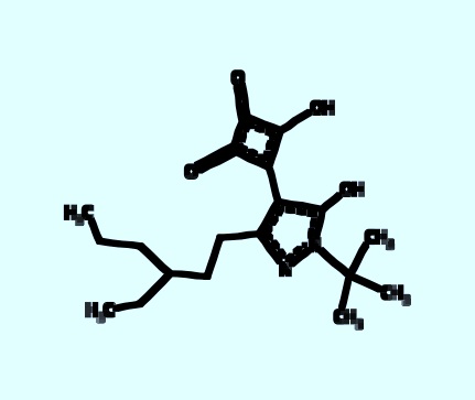 CCCC(CC)CCc1nn(C(C)(C)C)c(O)c1-c1c(O)c(=O)c1=O